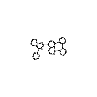 c1ccc(-c2nc(-c3ccc4c5c(cccc35)-c3ccccc3-c3ccccc3-4)nc3ccccc23)cc1